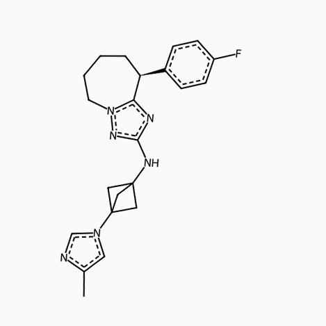 Cc1cn(C23CC(Nc4nc5n(n4)CCCC[C@H]5c4ccc(F)cc4)(C2)C3)cn1